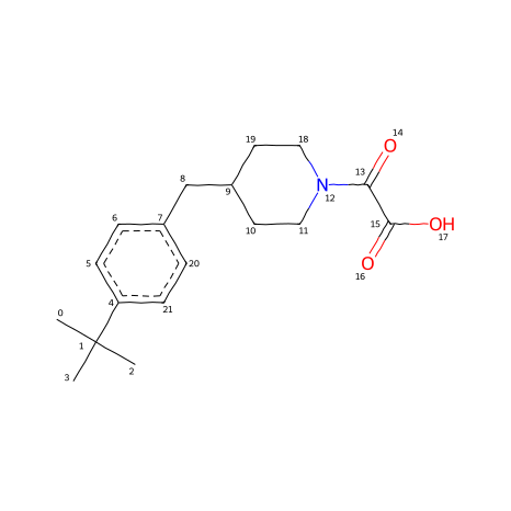 CC(C)(C)c1ccc(CC2CCN(C(=O)C(=O)O)CC2)cc1